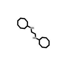 C1CCCC(NCCNC2CCCCCCC2)CCC1